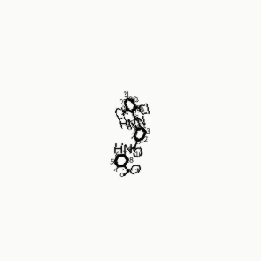 CC(=O)c1cccc(NC(=O)c2ccc3nc(-c4c(Cl)cccc4Cl)[nH]c3c2)c1